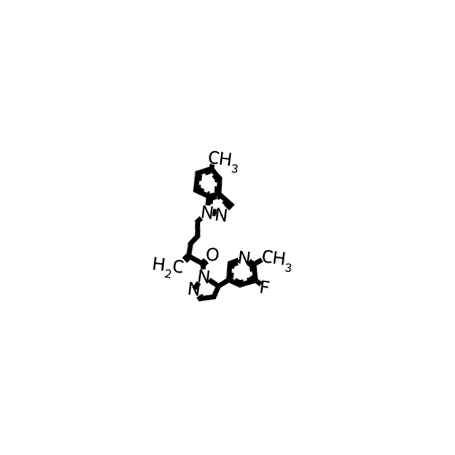 C=C(CCCn1ncc2cc(C)ccc21)C(=O)N1N=CCC1c1cnc(C)c(F)c1